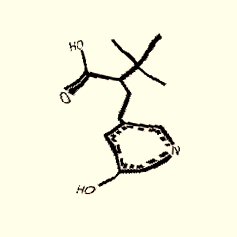 CC(C)(C)C(C(=O)O)c1cncc(O)c1